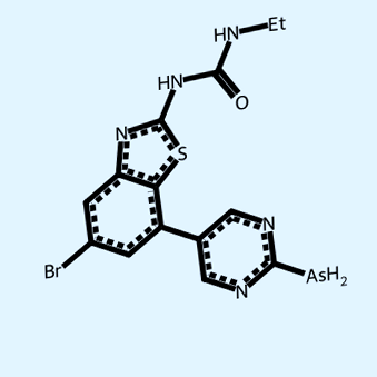 CCNC(=O)Nc1nc2cc(Br)cc(-c3cnc([AsH2])nc3)c2s1